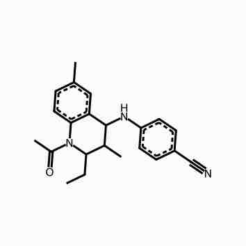 CCC1C(C)C(Nc2ccc(C#N)cc2)c2cc(C)ccc2N1C(C)=O